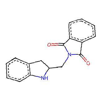 O=C1c2ccccc2C(=O)N1CC1Cc2ccccc2N1